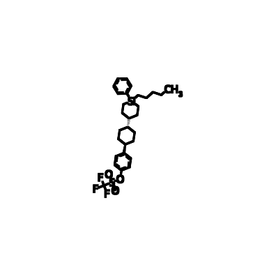 CCCCC[Si]1(c2ccccc2)CCC([C@H]2CC[C@H](c3ccc(OS(=O)(=O)C(F)(F)F)cc3)CC2)CC1